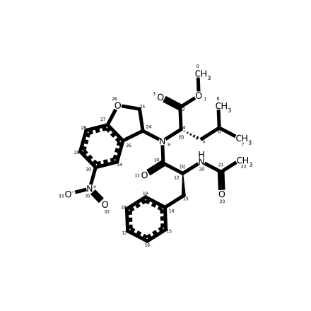 COC(=O)[C@H](CC(C)C)N(C(=O)[C@H](Cc1ccccc1)NC(C)=O)C1COc2ccc([N+](=O)[O-])cc21